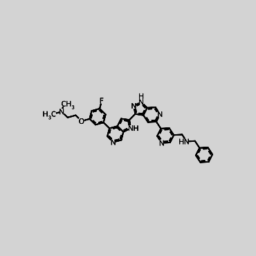 CN(C)CCOc1cc(F)cc(-c2cncc3[nH]c(-c4n[nH]c5cnc(-c6cncc(CNCc7ccccc7)c6)cc45)cc23)c1